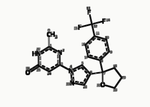 Cc1nc(-n2cc(C3(c4ccc(C(F)(F)F)cc4)CCCO3)cn2)cc(=O)[nH]1